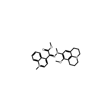 COC(=O)/C(=N\N(C)c1cc2c3c(c1OC)CCCN3CCC2)c1cc[n+](C)c2ccccc12